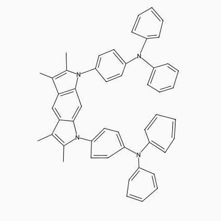 Cc1c(C)n(-c2ccc(N(c3ccccc3)c3ccccc3)cc2)c2cc3c(cc12)c(C)c(C)n3-c1ccc(N(c2ccccc2)c2ccccc2)cc1